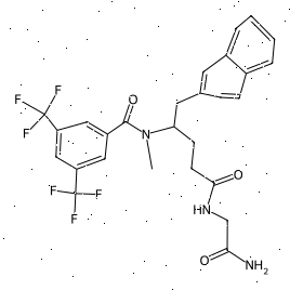 CN(C(=O)c1cc(C(F)(F)F)cc(C(F)(F)F)c1)C(CCC(=O)NCC(N)=O)Cc1ccc2ccccc2c1